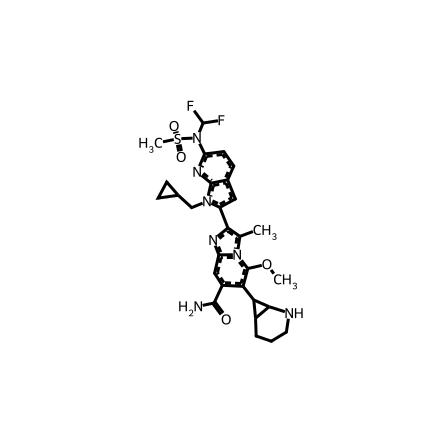 COc1c(C2C3CCCNC32)c(C(N)=O)cc2nc(-c3cc4ccc(N(C(F)F)S(C)(=O)=O)nc4n3CC3CC3)c(C)n12